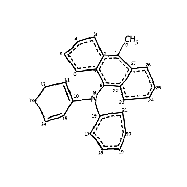 Cc1c2ccccc2c(N(C2=CCCC=C2)c2ccccc2)c2ccccc12